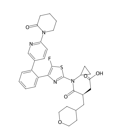 O=C(O)C[C@@H](CC1CCOCC1)C(=O)N(c1nc(-c2ccccc2-c2ccc(N3CCCCC3=O)nc2)c(F)s1)C1CC1